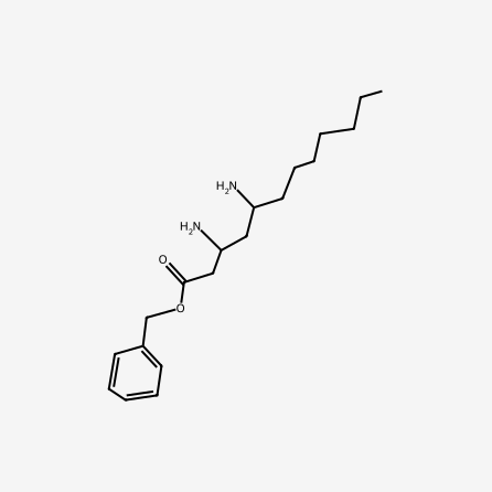 CCCCCCCC(N)CC(N)CC(=O)OCc1ccccc1